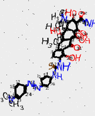 C[C@H]1c2ccc(NC(=S)Nc3ccc(N=Nc4ccc(N(C)C)cc4)cc3)c(O)c2C(=O)C2=C(O)[C@]3(O)C(=O)C(C(N)=O)=C(O)[C@@H](N(C)C)[C@@H]3[C@@H](O)[C@@H]21